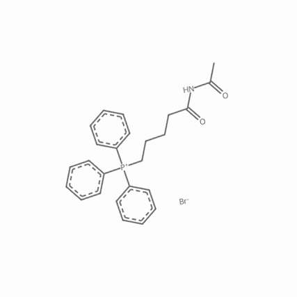 CC(=O)NC(=O)CCCC[P+](c1ccccc1)(c1ccccc1)c1ccccc1.[Br-]